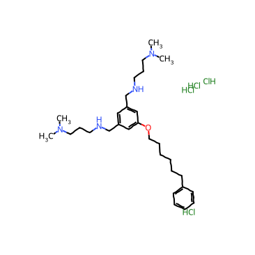 CN(C)CCCNCc1cc(CNCCCN(C)C)cc(OCCCCCCc2ccccc2)c1.Cl.Cl.Cl.Cl